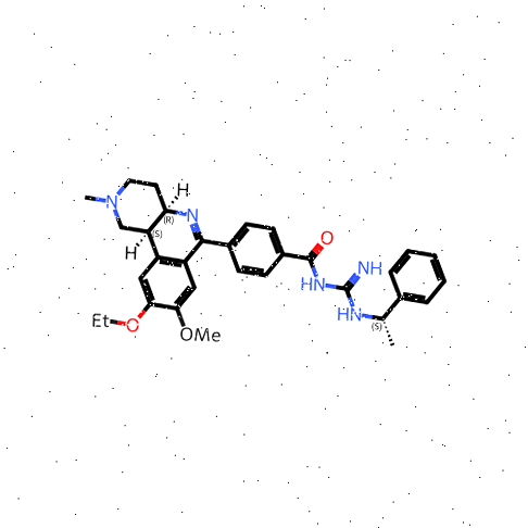 CCOc1cc2c(cc1OC)C(c1ccc(C(=O)NC(=N)N[C@@H](C)c3ccccc3)cc1)=N[C@@H]1CCN(C)C[C@H]21